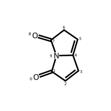 O=C1C=CC2=CCC(=O)N12